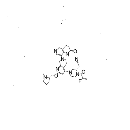 C=C(F)C(=O)N1CCN(c2cc(OC[C@@H]3CCCN3C)nc3c2CCN(c2cncc4c2N(C)C(=O)CC4)C3)C[C@@H]1CC#N